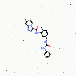 Cc1ccn2c(C(=O)Nc3cc(CNC(=O)Nc4ccccc4)ccc3C)cnc2c1